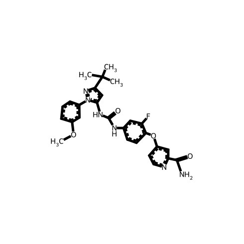 COc1cccc(-n2nc(C(C)(C)C)cc2NC(=O)Nc2ccc(Oc3ccnc(C(N)=O)c3)c(F)c2)c1